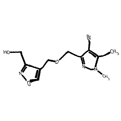 Cc1c(Br)c(COCc2conc2CO)nn1C